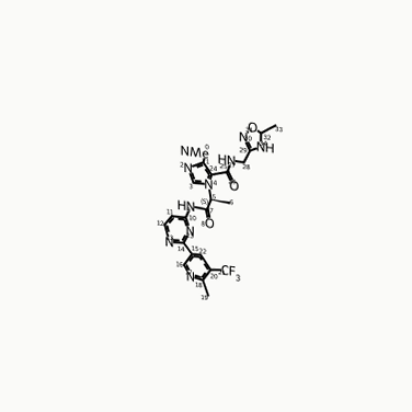 CNc1ncn([C@@H](C)C(=O)Nc2ccnc(-c3cnc(C)c(C(F)(F)F)c3)n2)c1C(=O)NCC1=NOC(C)N1